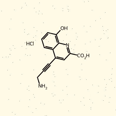 Cl.NCC#Cc1cc(C(=O)O)nc2c(O)cccc12